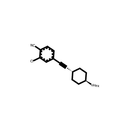 CCCCCC[C@H]1CC[C@H](C#Cc2ccc(C#N)c(Cl)c2)CC1